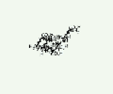 CC(C)CC(N)C(=O)O.CC(C)CC(N)C(=O)O.CC(C)CC(N)C(=O)O.N=C(N)NCCCC(N)C(=O)O.N=C(N)NCCCC(N)C(=O)O.NCCCCC(N)C(=O)O